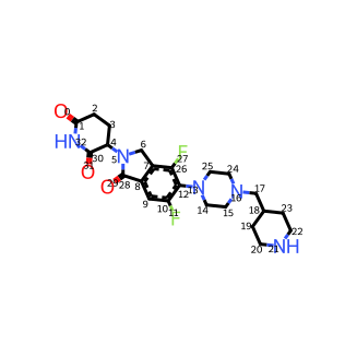 O=C1CCC(N2Cc3c(cc(F)c(N4CCN(CC5CCNCC5)CC4)c3F)C2=O)C(=O)N1